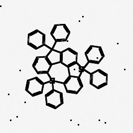 c1ccc(C2(c3ccccc3)c3cccc4c3-c3c2ccc2c3-c3c(cccc3[Si]2(c2ccccc2)c2ccccc2)[Si]4(c2ccccc2)c2ccccc2)cc1